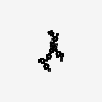 Cn1cc(-c2nc(C(=O)NS(=O)(=O)c3ccc(N4CCN(CC5=C(c6ccc(Cl)cc6)CC(C)(C)CC5)CC4)cc3Oc3cnc4[nH]ccc4c3)ccc2F)cn1